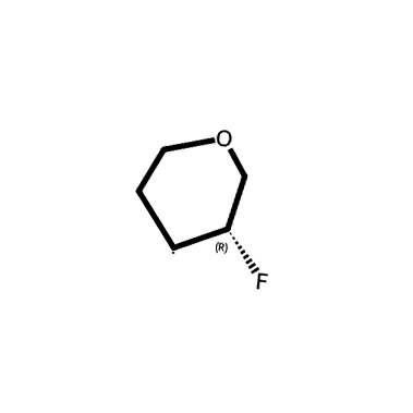 F[C@@H]1[CH]CCOC1